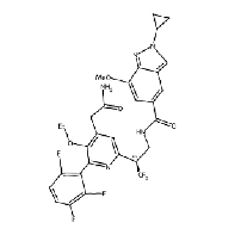 CCOc1c(CC(N)=O)cc([C@@H](CNC(=O)c2cc(OC)c3nn(C4CC4)cc3c2)C(F)(F)F)nc1-c1c(F)ccc(F)c1F